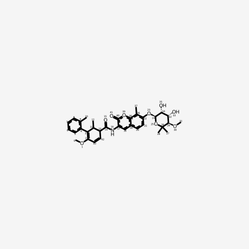 COC1=C(c2ccccc2C)C(C)C(C(=O)Nc2cc3ccc(O[C@@H]4OC(C)(C)[C@H](OC)[C@@H](O)[C@H]4O)c(C)c3oc2=O)C=C1